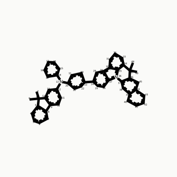 CC1(C)c2ccccc2-c2ccc(N(c3ccccc3)c3ccc(-c4ccc5c(c4)c4cccc6c4n5-c4cc5ccccc5cc4C6(C)C)cc3)cc21